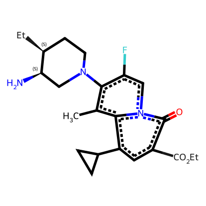 CCOC(=O)c1cc(C2CC2)c2c(C)c(N3CC[C@H](CC)[C@H](N)C3)c(F)cn2c1=O